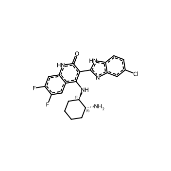 N[C@@H]1CCCC[C@H]1Nc1c(-c2nc3cc(Cl)ccc3[nH]2)c(=O)[nH]c2cc(F)c(F)cc12